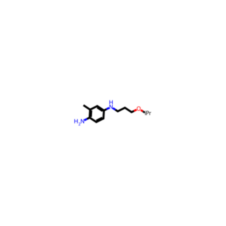 Cc1cc(NCCCOC(C)C)ccc1N